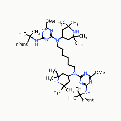 CCCCCC(C)(C)Nc1nc(OC)nc(N(CCCCCCN(c2nc(NC(C)(C)CCCCC)nc(OC)n2)C2CC(C)(C)NC(C)(C)C2)C2CC(C)(C)NC(C)(C)C2)n1